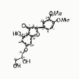 COc1ccc(-c2cc(=O)c3c(O)cc(OCC(O)CO)cc3o2)cc1OC